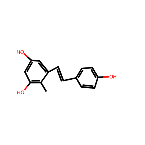 Cc1c(O)cc(O)cc1C=Cc1ccc(O)cc1